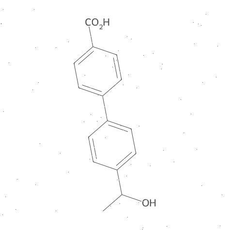 CC(O)c1ccc(-c2ccc(C(=O)O)cc2)cc1